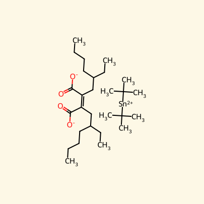 CCCCC(CC)C/C(C(=O)[O-])=C(\CC(CC)CCCC)C(=O)[O-].C[C](C)(C)[Sn+2][C](C)(C)C